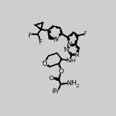 CC(C)C(N)C(=O)OC1COCCC1Nc1ncc2c(F)cc(-c3ccc(C4(C(F)F)CC4)cn3)n2n1